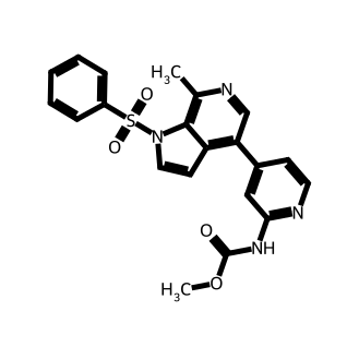 COC(=O)Nc1cc(-c2cnc(C)c3c2ccn3S(=O)(=O)c2ccccc2)ccn1